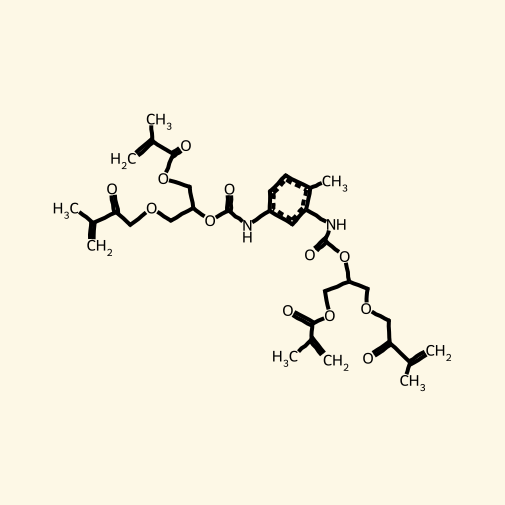 C=C(C)C(=O)COCC(COC(=O)C(=C)C)OC(=O)Nc1ccc(C)c(NC(=O)OC(COCC(=O)C(=C)C)COC(=O)C(=C)C)c1